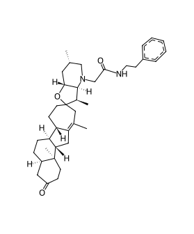 CC1=C2C[C@H]3[C@@H](CC[C@@H]4CC(=O)CC[C@@]43C)[C@@H]2CCC2(C1)O[C@@H]1C[C@H](C)CN(CC(=O)NCCc3ccccc3)[C@H]1[C@H]2C